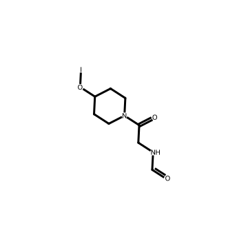 O=CNCC(=O)N1CCC(OI)CC1